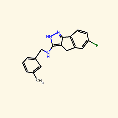 Cc1cccc(CNc2[nH]nc3c2Cc2cc(F)ccc2-3)c1